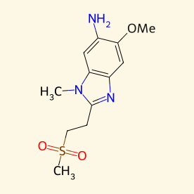 COc1cc2nc(CCS(C)(=O)=O)n(C)c2cc1N